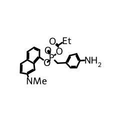 CCC(=O)OP(=O)(Cc1ccc(N)cc1)Oc1cccc2ccc(NC)cc12